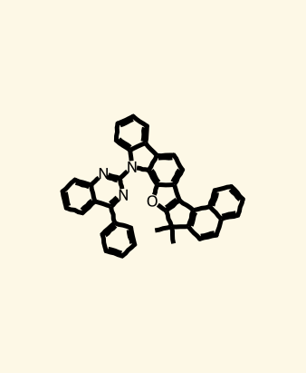 CC1(C)c2ccc3ccccc3c2-c2c1oc1c2ccc2c3ccccc3n(-c3nc(-c4ccccc4)c4ccccc4n3)c21